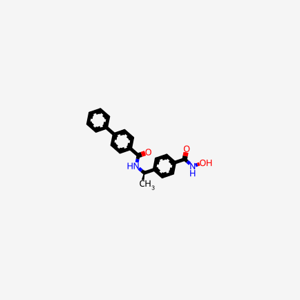 C[C@@H](NC(=O)c1ccc(-c2ccccc2)cc1)c1ccc(C(=O)NO)cc1